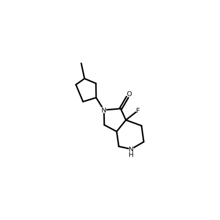 CC1CCC(N2CC3CNCCC3(F)C2=O)C1